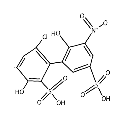 O=[N+]([O-])c1cc(S(=O)(=O)O)cc(-c2c(Cl)c[c]c(O)c2S(=O)(=O)O)c1O